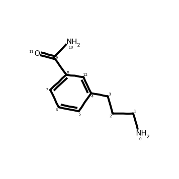 NCCCc1cccc(C(N)=O)c1